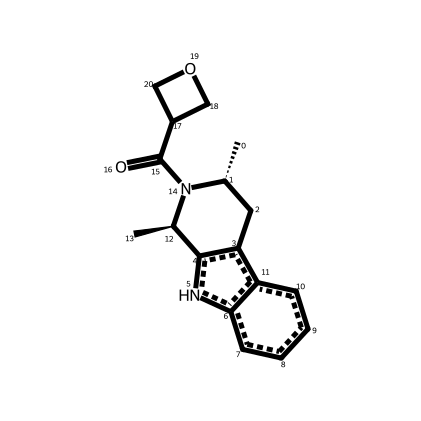 C[C@@H]1Cc2c([nH]c3ccccc23)[C@@H](C)N1C(=O)C1COC1